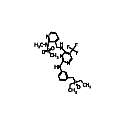 CCP(=O)(CC)Cc1cccc(Nc2ncc(C(F)(F)F)c(NCc3cccnc3N(C)S(C)(=O)=O)n2)c1